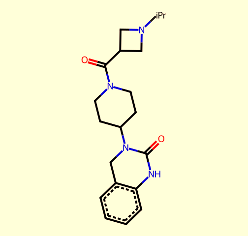 CC(C)N1CC(C(=O)N2CCC(N3Cc4ccccc4NC3=O)CC2)C1